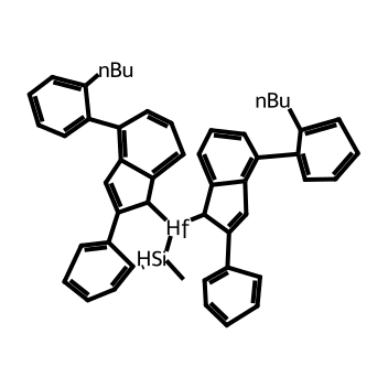 CCCCc1ccccc1-c1cccc2c1C=C(c1ccccc1)[CH]2[Hf]([CH]1C(c2ccccc2)=Cc2c(-c3ccccc3CCCC)cccc21)[SiH](C)C